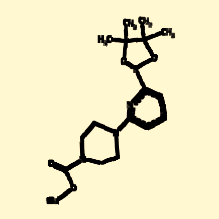 CC(C)(C)OC(=O)N1CCN(c2cccc(B3OC(C)(C)C(C)(C)O3)n2)CC1